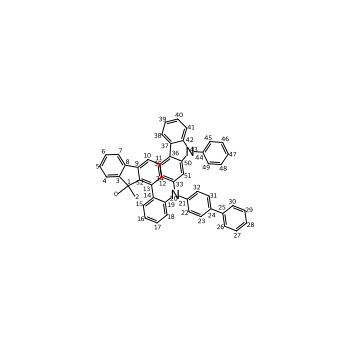 CC1(C)c2ccccc2-c2cccc(-c3ccccc3N(c3ccc(-c4ccccc4)cc3)c3ccc4c5ccccc5n(-c5ccccc5)c4c3)c21